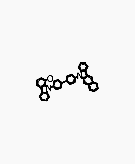 c1ccc2cc3c(cc2c1)c1ccccc1n3-c1ccc(-c2ccc3c(c2)Oc2cccc4c5ccccc5n-3c24)cc1